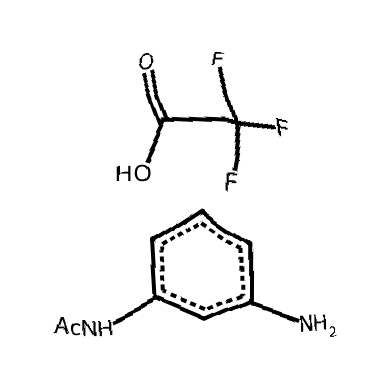 CC(=O)Nc1cccc(N)c1.O=C(O)C(F)(F)F